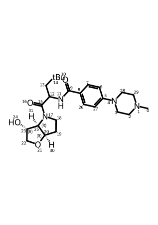 CN1CCN(c2ccc(C(=O)NC(CC(C)(C)C)C(=O)N3CC[C@H]4OC[C@H](O)[C@H]43)cc2)CC1